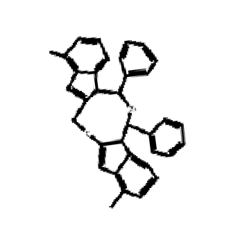 Cc1cccc2c1C=C1CCC3=Cc4c(C)cccc4C3[CH](c3ccccc3)[Zr][CH](c3ccccc3)C12